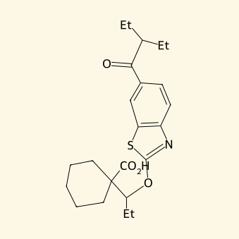 CCC(CC)C(=O)c1ccc2nc(OC(CC)C3(C(=O)O)CCCCC3)sc2c1